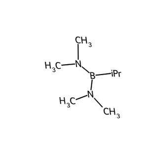 CC(C)B(N(C)C)N(C)C